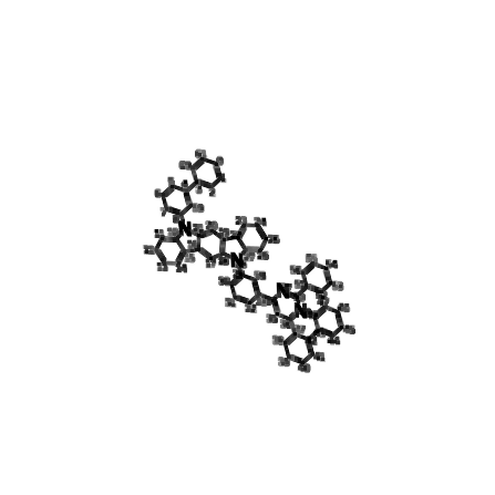 c1ccc(-c2cccc(-n3c4ccccc4c4cc5c(cc43)c3ccccc3n5-c3cccc(-c4cc(-c5ccccc5-c5ccccc5)nc(-c5ccccc5)n4)c3)c2)cc1